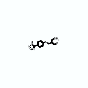 NC/C(=C\F)COc1ccc(-c2nnn[nH]2)cc1